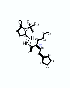 C=C(NNC1CCC(=O)N1C(F)(F)F)/C(=C\C=C1CCCC1)CCCC